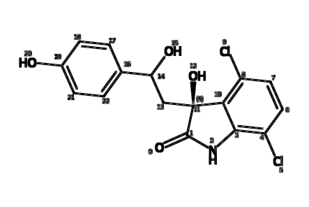 O=C1Nc2c(Cl)ccc(Cl)c2[C@@]1(O)CC(O)c1ccc(O)cc1